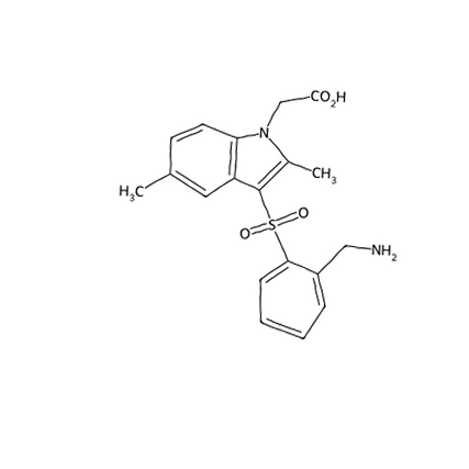 Cc1ccc2c(c1)c(S(=O)(=O)c1ccccc1CN)c(C)n2CC(=O)O